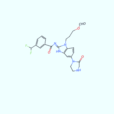 O=COCCCn1/c(=N/C(=O)c2cccc(C(F)F)c2)[nH]c2cc(N3CCNCC3=O)ccc21